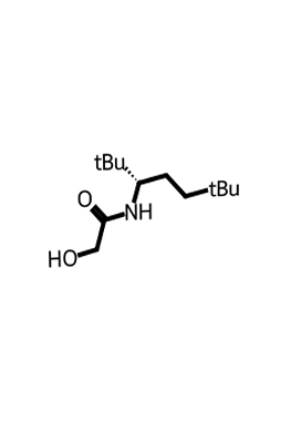 CC(C)(C)CC[C@H](NC(=O)CO)C(C)(C)C